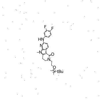 Cn1c2c(c3ccc(Nc4ccc(F)c(F)c4)nc31)C(=O)N(CCO[Si](C)(C)C(C)(C)C)CC2